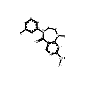 CCNc1ncc2c(n1)N(C)CCN(c1cccc(C)c1)C2=O